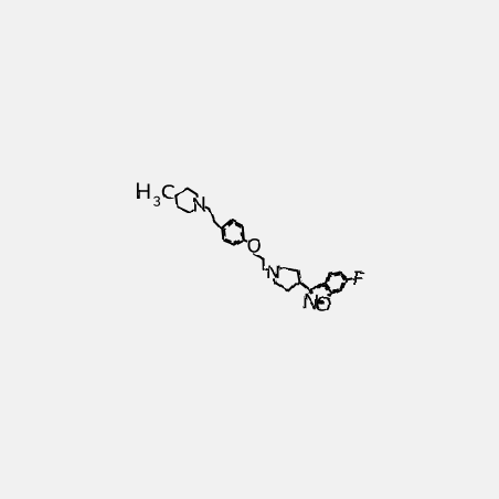 CC1CCN(CCc2ccc(OCCCN3CCC(c4noc5cc(F)ccc45)CC3)cc2)CC1